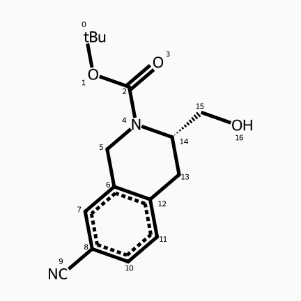 CC(C)(C)OC(=O)N1Cc2cc(C#N)ccc2C[C@H]1CO